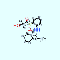 CC(C)CCC1(C(=O)Nc2ccccc2SC(=O)C(C)(C)O)CCCCC1